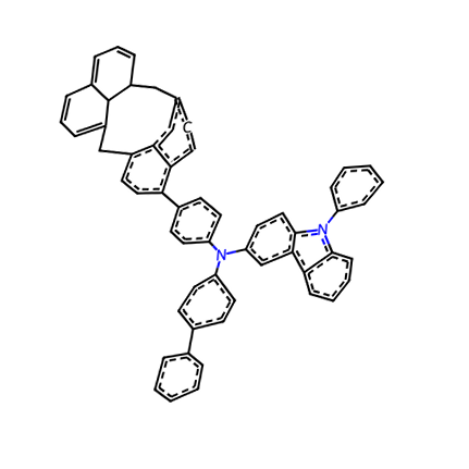 C1=CC2=CC=CC3Cc4ccc5c(-c6ccc(N(c7ccc(-c8ccccc8)cc7)c7ccc8c(c7)c7ccccc7n8-c7ccccc7)cc6)ccc(c5c4)CC(=C1)C23